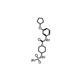 CC(C)S(=O)(=O)NC1CCN(C(=O)Nc2cccc(OC3CCCC3)c2)CC1